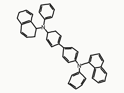 C1=CC2=C(C=CCC2N(c2ccccc2)C2C=CC(c3ccc(N(c4ccccc4)c4cccc5ccccc45)cc3)=CC2)CC1